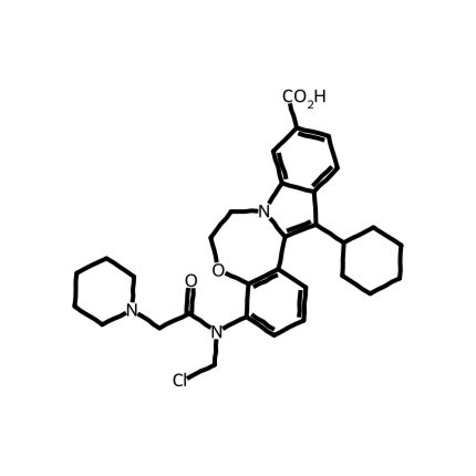 O=C(O)c1ccc2c(C3CCCCC3)c3n(c2c1)CCOc1c-3cccc1N(CCl)C(=O)CN1CCCCC1